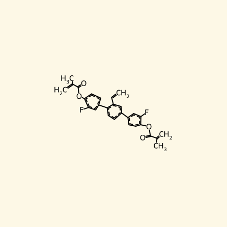 C=Cc1cc(-c2ccc(OC(=O)C(=C)C)c(F)c2)ccc1-c1ccc(OC(=O)C(=C)C)c(F)c1